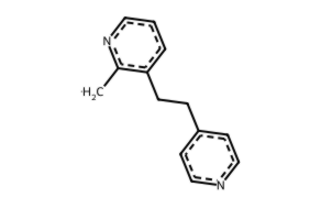 [CH2]c1ncccc1CCc1ccncc1